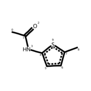 CC(=O)Nc1ccc(C)s1